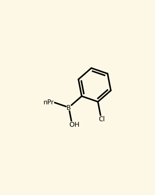 CCCB(O)c1ccccc1Cl